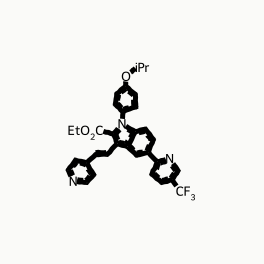 CCOC(=O)c1c(C=Cc2ccncc2)c2cc(-c3ccc(C(F)(F)F)cn3)ccc2n1-c1ccc(OC(C)C)cc1